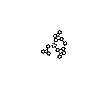 c1ccc(-c2ccc(-n3c4ccccc4c4ccccc43)c(-c3cccc(-c4nc(-c5cccc(-n6c7ccccc7c7ccccc76)c5)nc(-c5ccc(-n6c7ccccc7c7ccccc76)c(-c6ccccc6)c5)n4)c3)c2)cc1